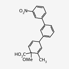 COC1(C(=O)O)C=CC(c2cccc(-c3cccc([N+](=O)[O-])c3)c2)C=C1C